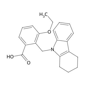 CCOc1cccc(C(=O)O)c1Cn1c2c(c3ccccc31)CCCC2